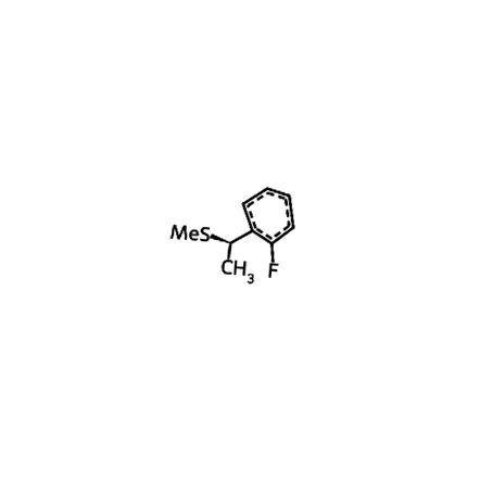 CS[C@H](C)c1ccccc1F